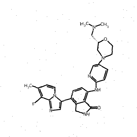 Cc1ccn2c(-c3ccc(Nc4ccc(N5CCO[C@@H](CN(C)C)C5)cn4)c4c3CNC4=O)cnc2c1F